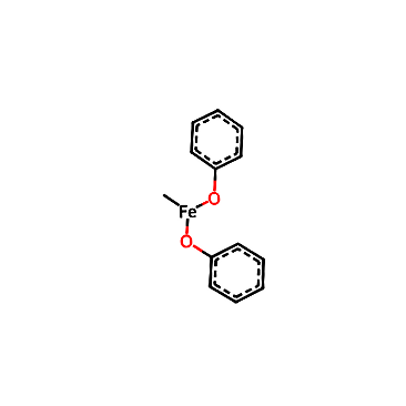 [CH3][Fe]([O]c1ccccc1)[O]c1ccccc1